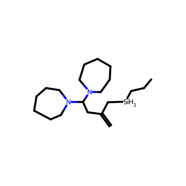 C=C(C[SiH2]CCC)CC(N1CCCCCC1)N1CCCCCC1